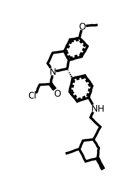 C=C1CC(C)CC(CCNc2ccc([C@H]3c4ccc(OC)cc4CCN3C(=O)CCl)cc2)C1